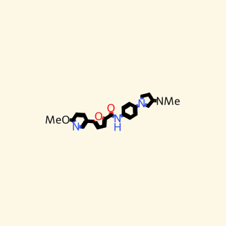 CNC1CCN(c2ccc(NC(=O)c3ccc(-c4ccc(OC)nc4)o3)cc2)C1